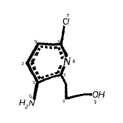 Nc1ccc(Cl)nc1CO